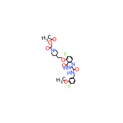 COc1cc(CNC(=O)c2nc3ccc(F)c(OCCC4CCN(C(=O)COC(C)=O)CC4)c3c(=O)[nH]2)ccc1F